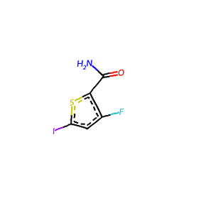 NC(=O)c1sc(I)cc1F